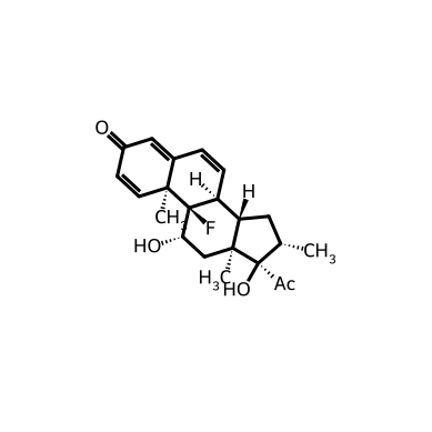 CC(=O)[C@@]1(O)[C@@H](C)C[C@H]2[C@@H]3C=CC4=CC(=O)C=C[C@]4(C)[C@@]3(F)[C@@H](O)C[C@@]21C